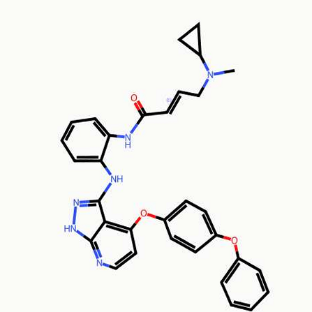 CN(C/C=C/C(=O)Nc1ccccc1Nc1n[nH]c2nccc(Oc3ccc(Oc4ccccc4)cc3)c12)C1CC1